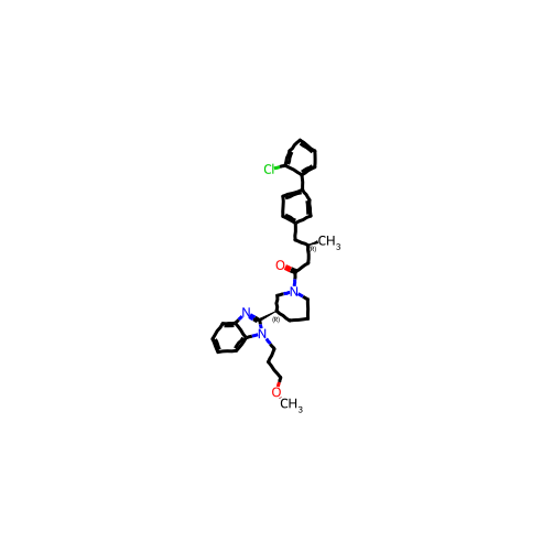 COCCCn1c([C@@H]2CCCN(C(=O)C[C@H](C)Cc3ccc(-c4ccccc4Cl)cc3)C2)nc2ccccc21